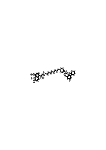 O=C(Nc1c(F)cc(F)cc1-c1cccnc1)OC1CCN(CCCCCCCCCNCC(O)c2ccc(O)c3[nH]c(=O)ccc23)CC1